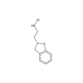 CCNCCC1Cc2ccccc2O1